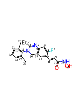 CCC1=Nc2cc(F)c(/C=C/C(=O)NO)cc2CN1c1c(C)cccc1C